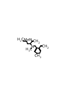 C=CCCC(C(=C)NC)N(C)CC1=CC(C)CC=C1C=C